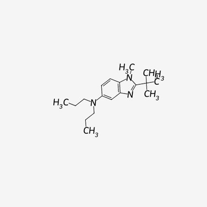 CCCN(CCC)c1ccc2c(c1)nc(C(C)(C)C)n2C